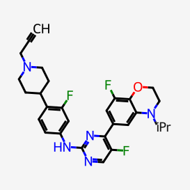 C#CCN1CCC(c2ccc(Nc3ncc(F)c(-c4cc(F)c5c(c4)N(C(C)C)CCO5)n3)cc2F)CC1